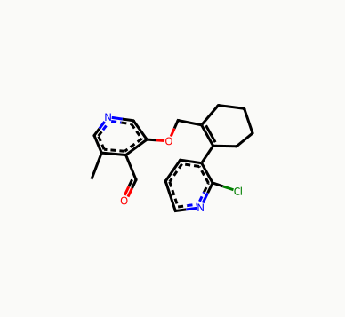 Cc1cncc(OCC2=C(c3cccnc3Cl)CCCC2)c1C=O